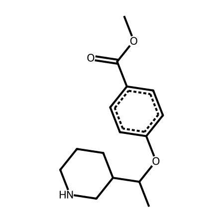 COC(=O)c1ccc(OC(C)C2CCCNC2)cc1